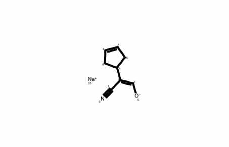 N#CC(=C[O-])C1CC=CC1.[Na+]